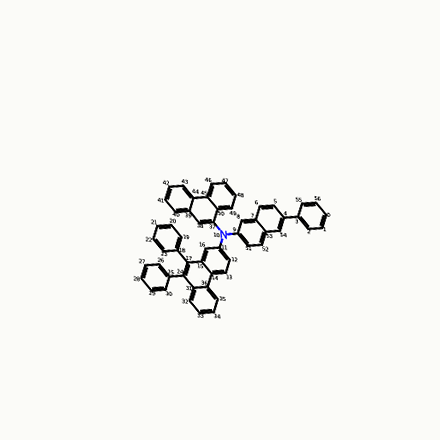 c1ccc(-c2ccc3cc(N(c4ccc5c(c4)c(-c4ccccc4)c(-c4ccccc4)c4ccccc45)c4cc5ccccc5c5ccccc45)ccc3c2)cc1